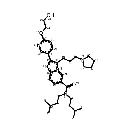 CC(C)CCN(CCC(C)C)C(=O)c1ccc2nc(-c3ccc(OCCO)nc3)c(CCCN3CCCC3)n2c1